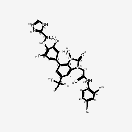 COc1cc(-c2cc(C(F)(F)F)cc3c2n(C)c(=O)n3CC(=O)Nc2ccc(F)cc2F)cc(F)c1OCc1nnc[nH]1